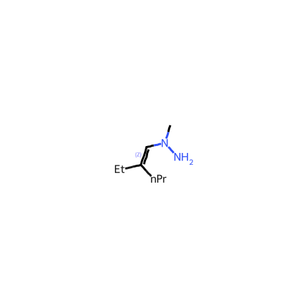 CCC/C(=C\N(C)N)CC